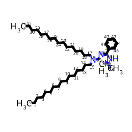 CCCCCCCCCCCCCCCCN(CCCCCCCCCCCCCCCC)CN=C(NN(C)C)c1ccccc1